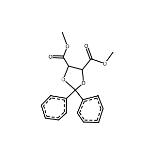 COC(=O)C1OC(c2ccccc2)(c2ccccc2)OC1C(=O)OC